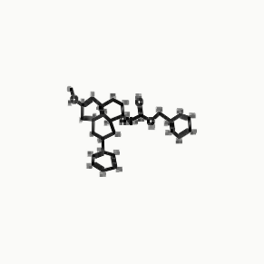 COc1cc2c3c(c1)CC(c1ccccc1)CC3C(NC(=O)OCc1ccccc1)CC2